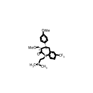 COC[C@H]1C(=O)N(CCN(C)C)c2ccc(C(F)(F)F)cc2C[C@H]1c1ccc(OC)cc1